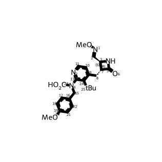 CON=C[C@H]1NC(=O)[C@@H]1Cc1ccnc(N(Cc2ccc(OC)cc2)C(=O)O)c1C(C)(C)C